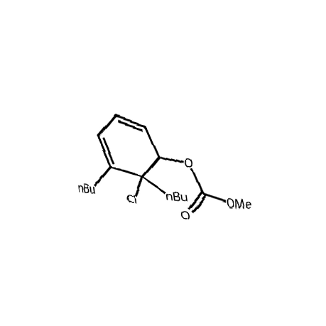 CCCCC1=CC=CC(OC(=O)OC)C1(Cl)CCCC